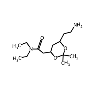 CCN(CC)C(=O)CC1CC(CCN)OC(C)(C)O1